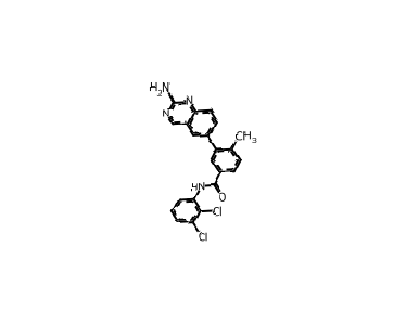 Cc1ccc(C(=O)Nc2cccc(Cl)c2Cl)cc1-c1ccc2nc(N)ncc2c1